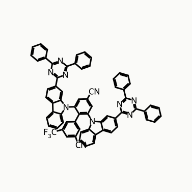 N#Cc1cc(-c2c(-n3c4ccccc4c4ccc(-c5nc(-c6ccccc6)nc(-c6ccccc6)n5)cc43)cc(C#N)cc2-n2c3ccccc3c3ccc(-c4nc(-c5ccccc5)nc(-c5ccccc5)n4)cc32)cc(C(F)(F)F)c1